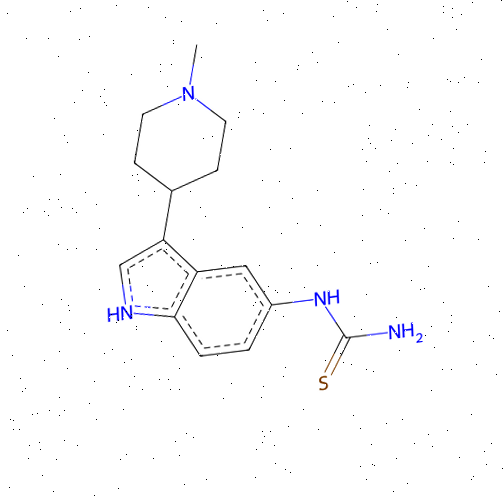 CN1CCC(c2c[nH]c3ccc(NC(N)=S)cc23)CC1